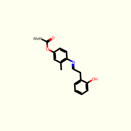 CNC(=O)Oc1ccc(N=CCc2ccccc2O)c(C)c1